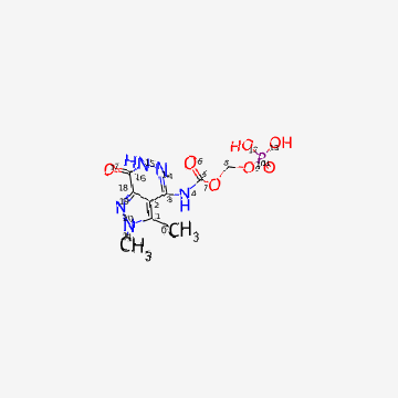 Cc1c2c(NC(=O)OCOP(=O)(O)O)n[nH]c(=O)c2nn1C